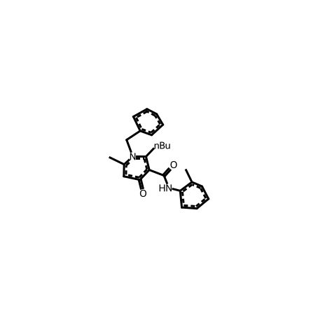 CCCCc1c(C(=O)Nc2ccccc2C)c(=O)cc(C)n1Cc1ccccc1